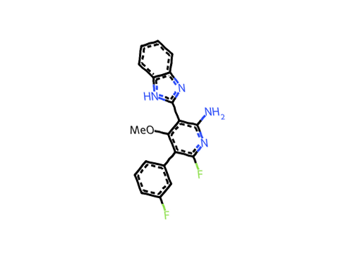 COc1c(-c2nc3ccccc3[nH]2)c(N)nc(F)c1-c1cccc(F)c1